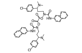 CN(C)C(CCN(OC(=O)C(=O)ON(CCC(c1ccc(Cl)cc1)N(C)C)C(=O)Nc1ccc2ccccc2c1)C(=O)Nc1ccc2ccccc2c1)c1ccc(Cl)cc1